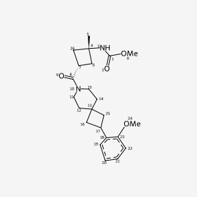 COC(=O)N[C@]1(C)C[C@H](C(=O)N2CCC3(CC2)CC(c2ccccc2OC)C3)C1